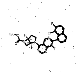 CC(C)(C)OC(=O)N1C[C@@H]2[C@H]1CCN2c1ncnc2c(F)c(-c3cccc4ccc(F)c(Cl)c34)ncc12